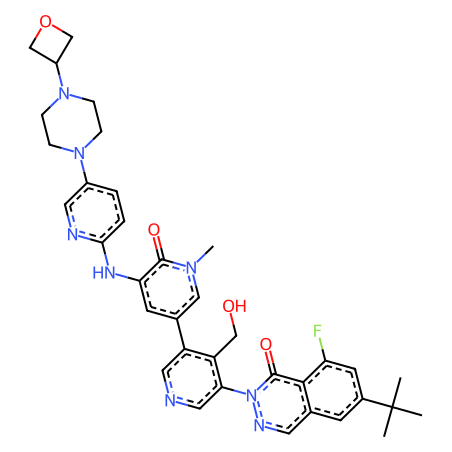 Cn1cc(-c2cncc(-n3ncc4cc(C(C)(C)C)cc(F)c4c3=O)c2CO)cc(Nc2ccc(N3CCN(C4COC4)CC3)cn2)c1=O